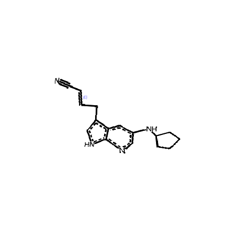 N#C/C=C/Cc1c[nH]c2ncc(NC3CCCC3)cc12